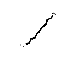 C=CC=CC=CC=CCCC(C)=O